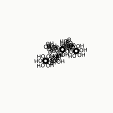 O=P(O)(O)OP(=O)(O)OP(=O)(O)OC1C(O)C(O)C(OP(=O)(OC2C(O)C(O)C(O)C(O)C2O)OP(=O)(O)OP(=O)(O)O)C(O)C1OP(=O)(O)OP(=O)(O)OP(=O)(O)OC1(O)C(O)C(O)C(O)C(O)C1O